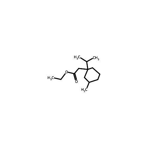 CCOC(=O)CC1(C(C)C)CCCC(C)C1